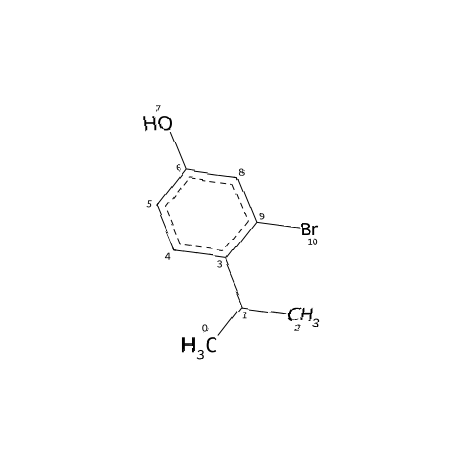 CC(C)c1ccc(O)cc1Br